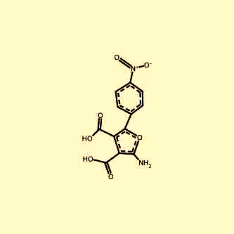 Nc1oc(-c2ccc([N+](=O)[O-])cc2)c(C(=O)O)c1C(=O)O